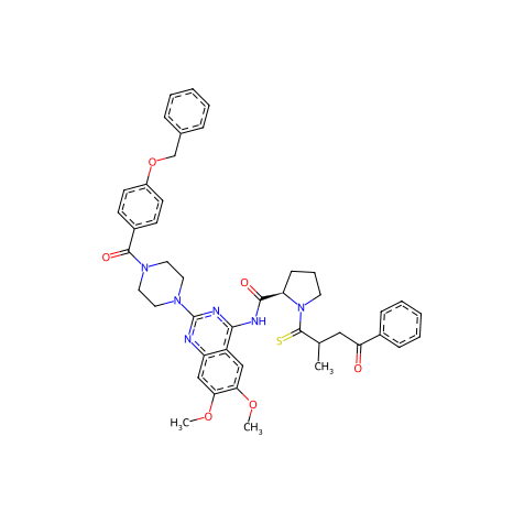 COc1cc2nc(N3CCN(C(=O)c4ccc(OCc5ccccc5)cc4)CC3)nc(NC(=O)[C@H]3CCCN3C(=S)C(C)CC(=O)c3ccccc3)c2cc1OC